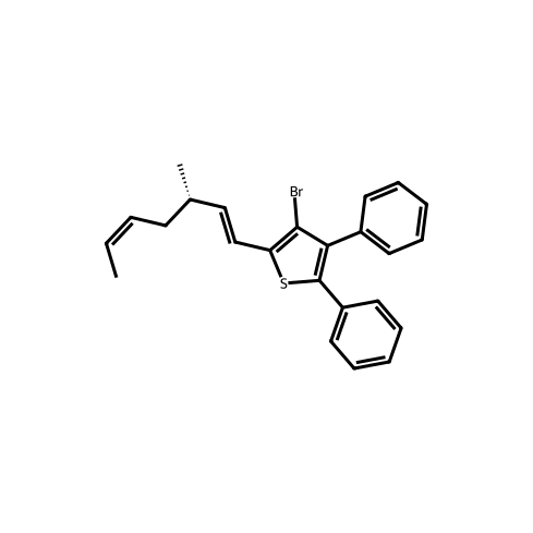 C/C=C\C[C@H](C)/C=C/c1sc(-c2ccccc2)c(-c2ccccc2)c1Br